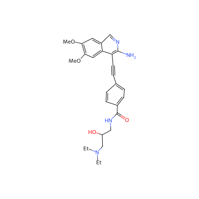 CCN(CC)CC(O)CNC(=O)c1ccc(C#Cc2c(N)ncc3cc(OC)c(OC)cc23)cc1